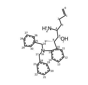 C=CCCC(N)[C@H](O)[C@@H](C)c1ccccc1N(Cc1ccccc1)Cc1ccccc1